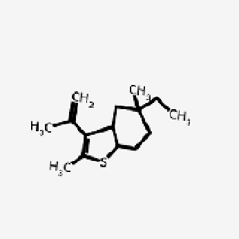 C=C(C)C1=C(C)SC2CCC(C)(CC)CC12